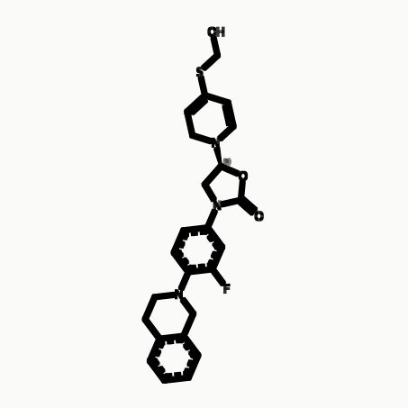 O=C1O[C@H](N2C=CC(SCO)=CC2)CN1c1ccc(N2CCc3ccccc3C2)c(F)c1